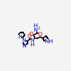 NC(=O)C(=O)C(CCc1cc[nH]c1)NC(=O)c1cncn1-c1ccccn1